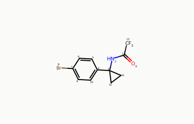 O=C(NC1(c2ccc(Br)cc2)CC1)C(F)(F)F